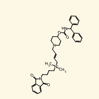 C[N+](C)(C/C=C/CN1CCC(OC(=O)NC(c2ccccc2)c2ccccc2)CC1)CCCCN1C(=O)c2ccccc2C1=O